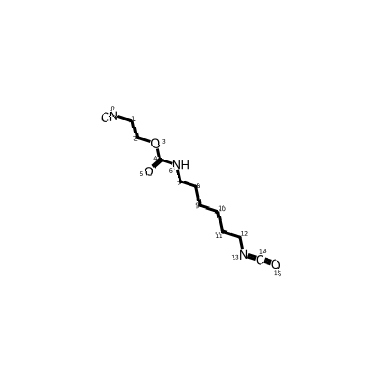 [C-]#[N+]CCOC(=O)NCCCCCCN=C=O